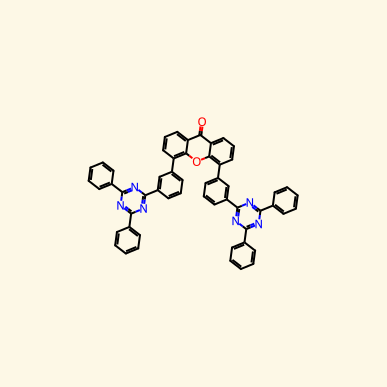 O=c1c2cccc(-c3cccc(-c4nc(-c5ccccc5)nc(-c5ccccc5)n4)c3)c2oc2c(-c3cccc(-c4nc(-c5ccccc5)nc(-c5ccccc5)n4)c3)cccc12